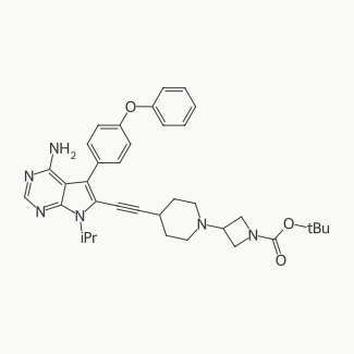 CC(C)n1c(C#CC2CCN(C3CN(C(=O)OC(C)(C)C)C3)CC2)c(-c2ccc(Oc3ccccc3)cc2)c2c(N)ncnc21